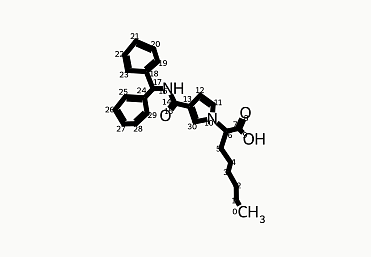 CCCCCCC(C(=O)O)n1ccc(C(=O)NC(c2ccccc2)c2ccccc2)c1